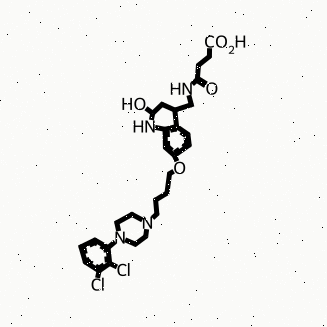 O=C(O)CCC(=O)NCC1CC(O)Nc2cc(OCCCCN3CCN(c4cccc(Cl)c4Cl)CC3)ccc21